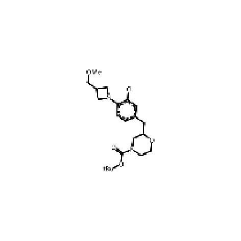 COCC1CN(c2ccc(CC3CN(C(=O)OC(C)(C)C)CCO3)cc2Cl)C1